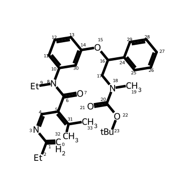 C=C(CC)/N=C\C(C(=O)N(CC)c1cccc(OC(CN(C)C(=O)OC(C)(C)C)c2ccccc2)c1)=C(C)C